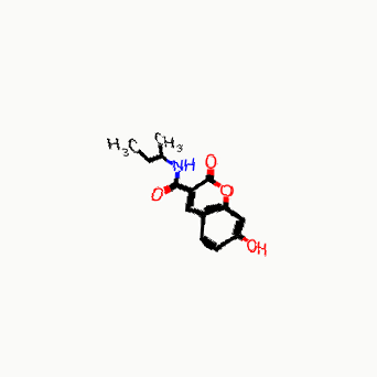 CCC(C)NC(=O)c1cc2ccc(O)cc2oc1=O